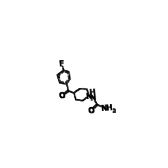 NC(=O)NN1CCC(C(=O)c2ccc(F)cc2)CC1